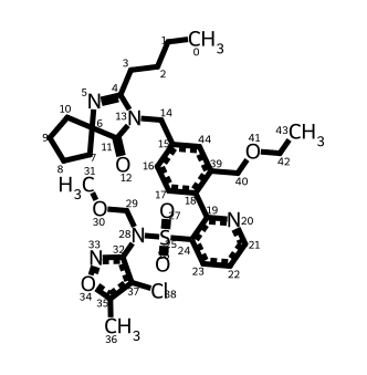 CCCCC1=NC2(CCCC2)C(=O)N1Cc1ccc(-c2ncccc2S(=O)(=O)N(COC)c2noc(C)c2Cl)c(COCC)c1